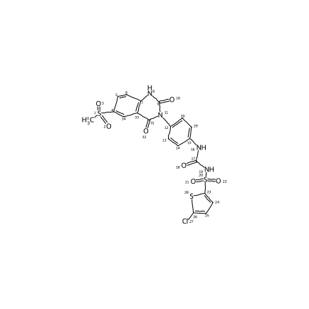 CS(=O)(=O)c1ccc2[nH]c(=O)n(-c3ccc(NC(=O)NS(=O)(=O)c4ccc(Cl)s4)cc3)c(=O)c2c1